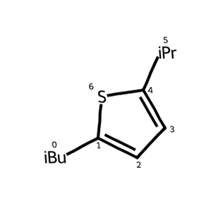 CCC(C)c1ccc(C(C)C)s1